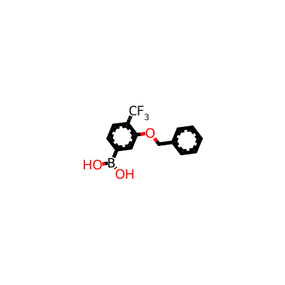 OB(O)c1ccc(C(F)(F)F)c(OCc2ccccc2)c1